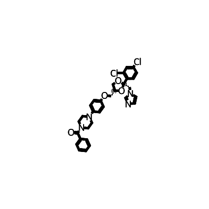 O=C(c1ccccc1)N1CCN(c2ccc(OC[C@@H]3CO[C@@](Cn4ccnc4)(c4ccc(Cl)cc4Cl)O3)cc2)CC1